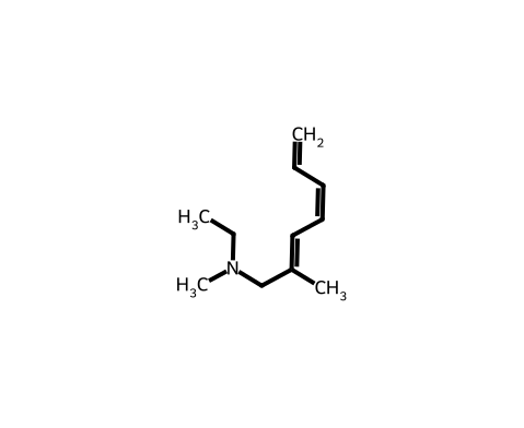 C=C/C=C\C=C(/C)CN(C)CC